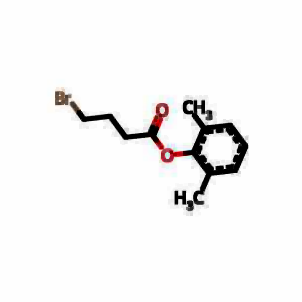 Cc1cccc(C)c1OC(=O)CCCBr